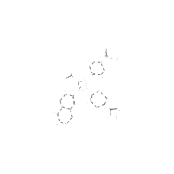 CC(=O)[C@H]1[C@H](c2ccc(C(=O)O)cc2)[C@H](c2ccc(C(=O)O)cc2)[C@H]1c1ccc2ccccc2c1